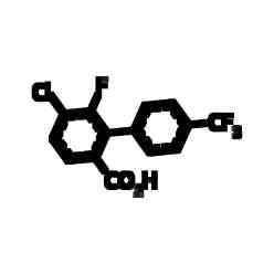 O=C(O)c1ccc(Cl)c(F)c1-c1ccc(C(F)(F)F)cc1